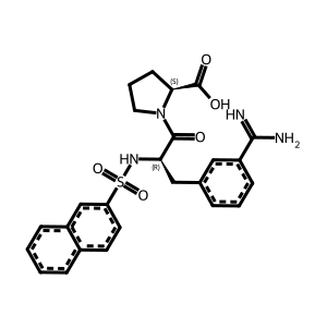 N=C(N)c1cccc(C[C@@H](NS(=O)(=O)c2ccc3ccccc3c2)C(=O)N2CCC[C@H]2C(=O)O)c1